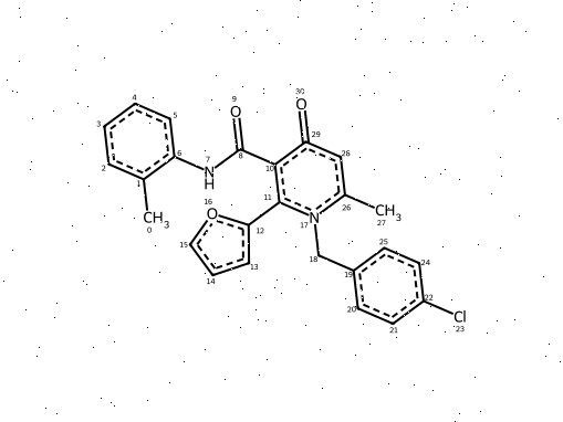 Cc1ccccc1NC(=O)c1c(-c2ccco2)n(Cc2ccc(Cl)cc2)c(C)cc1=O